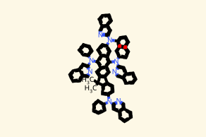 CC1(C)c2cc(N(c3ccccc3)c3cc4ccccc4cn3)ccc2-c2cc3c(N(c4ccccc4)c4cc5ccccc5cn4)c4cc(N(c5ccccc5)c5cc6ccccc6cn5)ccc4c(N(c4ccccc4)c4cc5ccccc5cn4)c3cc21